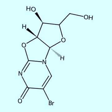 O=c1nc2n(cc1Br)[C@@H]1OC(CO)[C@H](O)[C@H]1O2